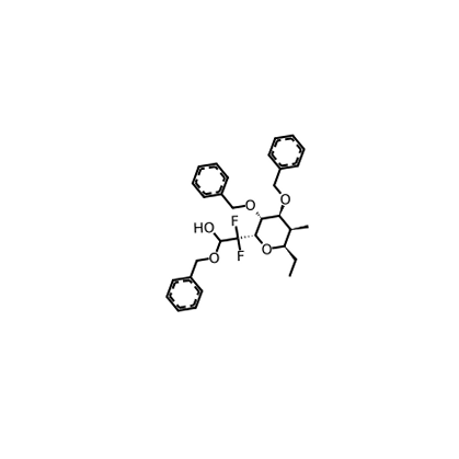 CC[C@H]1O[C@H](C(F)(F)C(O)OCc2ccccc2)[C@H](OCc2ccccc2)[C@@H](OCc2ccccc2)[C@H]1C